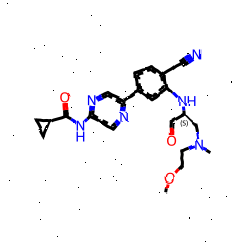 COCCN(C)C[C@@H](C=O)Nc1cc(-c2cnc(NC(=O)C3CC3)cn2)ccc1C#N